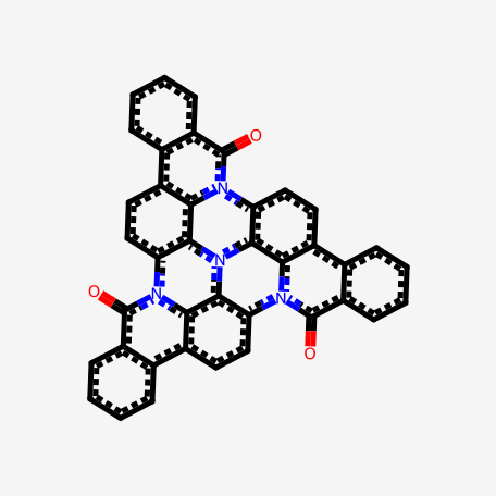 O=c1c2ccccc2c2ccc3c4c2n1c1ccc2c5ccccc5c(=O)n5c6ccc7c8ccccc8c(=O)n3c7c6n4c1c25